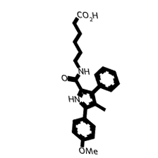 COc1ccc(-c2[nH]c(C(=O)NCCCCCC(=O)O)c(-c3ccccc3)c2C)cc1